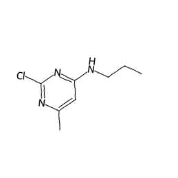 CCCNc1cc(C)nc(Cl)n1